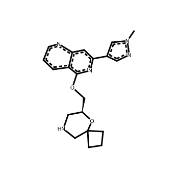 Cn1cc(-c2cc3ncccc3c(OC[C@@H]3CNCC4(CCC4)O3)n2)cn1